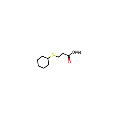 COC(=O)CCSC1CCCCC1